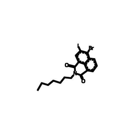 CCCCCCCN1C(=O)c2cccc3c(Br)c(I)cc(c23)C1=O